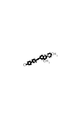 Cc1cc(N2CCC(C)CC2)nc2ccc(C#Cc3ccc(-c4ccc(Cl)cc4)cn3)cc12